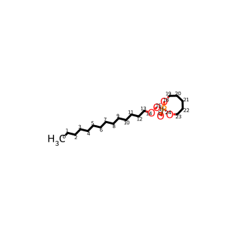 CCCCCCCCCCCCCCOOP1(=O)OCCCCCO1